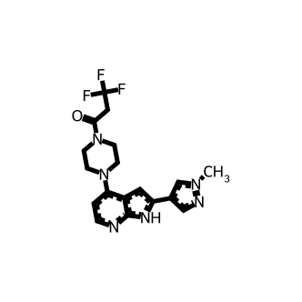 Cn1cc(-c2cc3c(N4CCN(C(=O)CC(F)(F)F)CC4)ccnc3[nH]2)cn1